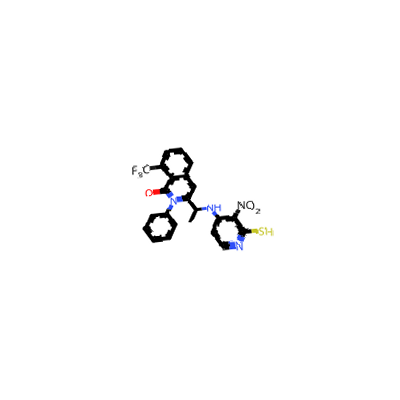 CC(Nc1ccnc(S)c1[N+](=O)[O-])c1cc2cccc(C(F)(F)F)c2c(=O)n1-c1ccccc1